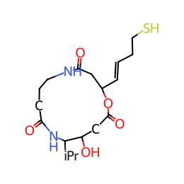 CC(C)C1NC(=O)CCCNC(=O)CC(/C=C/CCS)OC(=O)CC1O